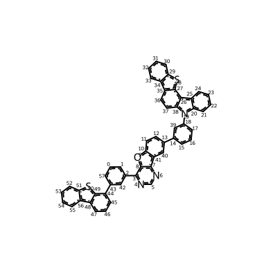 c1cc(-c2ncnc3c2oc2ccc(-c4cccc(-n5c6ccccc6c6c7sc8ccccc8c7ccc65)c4)cc23)cc(-c2cccc3c2sc2ccccc23)c1